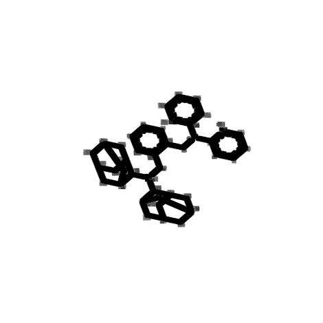 c1ccc(P(Cc2ccccc2CP(C2C3CC4CC(C3)CC2C4)C2C3CC4CC(C3)CC2C4)c2ccccn2)nc1